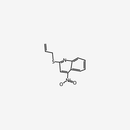 C=CCSc1cc([N+](=O)[O-])c2ccccc2n1